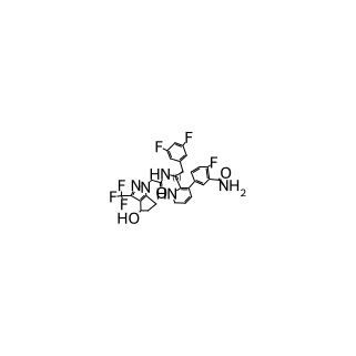 NC(=O)c1cc(C2=C([C@H](Cc3cc(F)cc(F)c3)NC(=O)Cn3nc(C(F)(F)F)c4c3CCC4O)NCC=C2)ccc1F